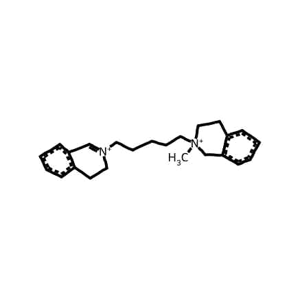 C[N+]1(CCCCC[N+]2=Cc3ccccc3CC2)CCc2ccccc2C1